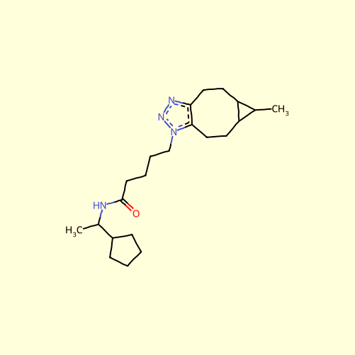 CC(NC(=O)CCCCn1nnc2c1CCC1C(C)C1CC2)C1CCCC1